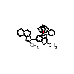 CC1=Cc2c(ccc3ccccc23)C1c1cc2c3c(-c4ccccc4)c1[Si](c1ccccc1)(c1ccccc1)C3=C(C)[CH]2